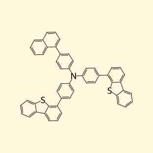 c1ccc2c(-c3ccc(N(c4ccc(-c5cccc6c5sc5ccccc56)cc4)c4ccc(-c5cccc6c5sc5ccccc56)cc4)cc3)cccc2c1